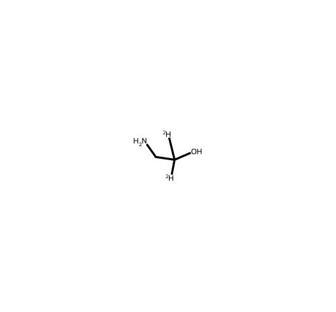 [2H]C([2H])(O)CN